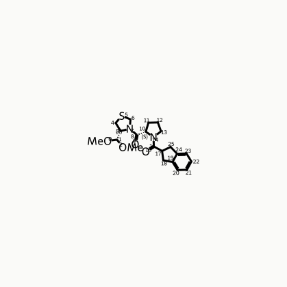 COC(OC)[C@@H]1CSCN1C(=O)[C@@H]1CCCN1C(=O)C1Cc2ccccc2C1